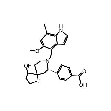 COc1cc(C)c2[nH]ccc2c1CN1CCC2(C[C@H]1c1ccc(C(=O)O)cc1)OCCC2O